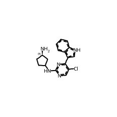 N[C@@H]1CCC(Nc2ncc(Cl)c(-c3c[nH]c4ccccc34)n2)C1